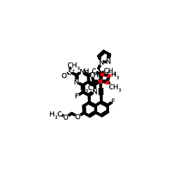 COCOc1cc(-c2nc(N3CC[C@@H]3Cn3cccn3)c3cnc([S+](C)[O-])nc3c2F)c2c(C#C[Si](C(C)C)(C(C)C)C(C)C)c(F)ccc2c1